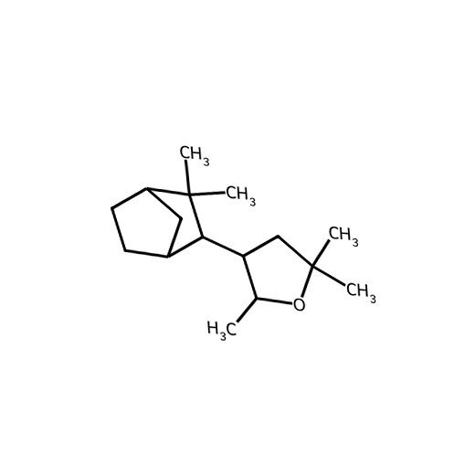 CC1OC(C)(C)CC1C1C2CCC(C2)C1(C)C